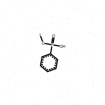 O=P(O)(OI)c1ccccc1